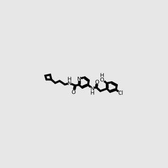 O=C(Cc1cc(Cl)ccc1O)Nc1ccnc(C(=O)NCCCC2CCC2)c1